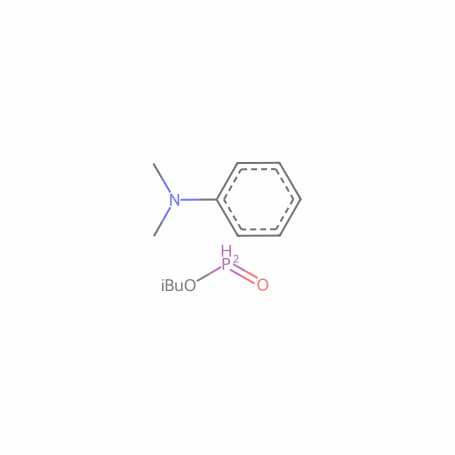 CC(C)CO[PH2]=O.CN(C)c1ccccc1